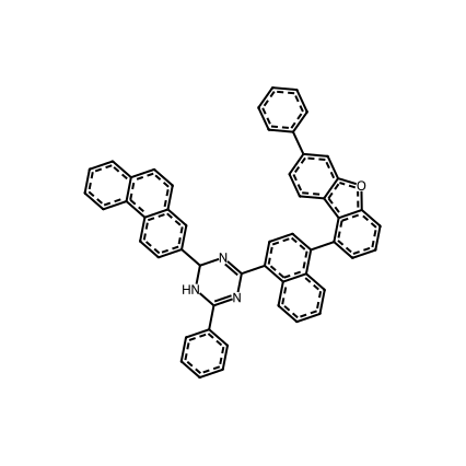 c1ccc(C2=NC(c3ccc(-c4cccc5oc6cc(-c7ccccc7)ccc6c45)c4ccccc34)=NC(c3ccc4c(ccc5ccccc54)c3)N2)cc1